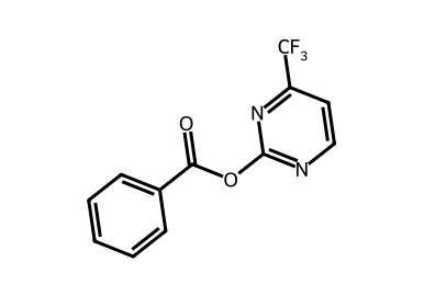 O=C(Oc1nccc(C(F)(F)F)n1)c1ccccc1